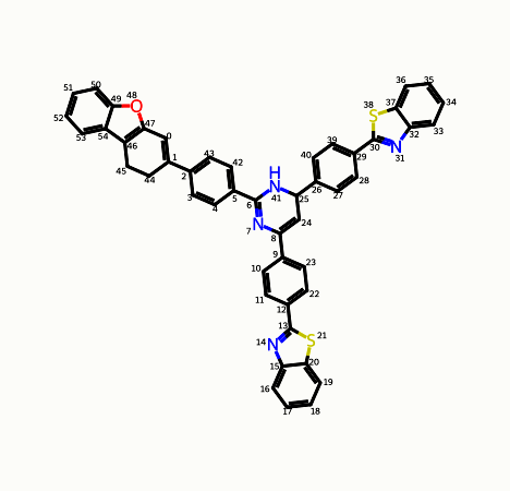 C1=C(c2ccc(C3=NC(c4ccc(-c5nc6ccccc6s5)cc4)=CC(c4ccc(-c5nc6ccccc6s5)cc4)N3)cc2)CCc2c1oc1ccccc21